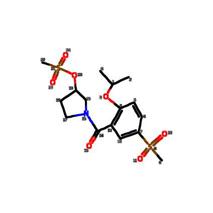 CC(C)Oc1ccc(S(C)(=O)=O)cc1C(=O)N1CCC(OS(C)(=O)=O)C1